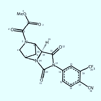 COC(=O)C(=O)N1CC2CC1[C@H]1C(=O)N(c3ccc(C#N)c(C(F)(F)F)c3)C(=O)N21